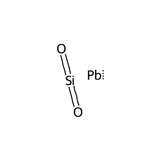 O=[Si]=O.[Pb]